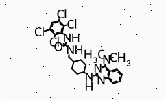 CN(C)c1nc(NC2CCC(CNC(=O)Nc3c(Cl)c(Cl)cc(Cl)c3Cl)CC2)nc2ccccc12